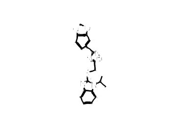 CC(C)n1c(SCc2nc(-c3ccc4c(c3)OCO4)no2)nc2ccccc21